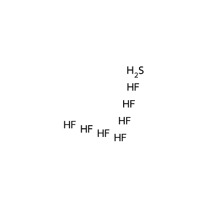 F.F.F.F.F.F.F.S